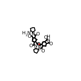 NC1CCCC[C@H]1n1c(=O)c2cc3c(=O)n([C@@H]4CCCC[C@H]4n4c(=O)c5cc6c(=O)[nH]c(=O)c6cc5c4=O)c(=O)c3cc2c1=O